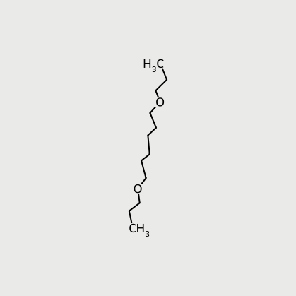 CCCOCCCCCCOCCC